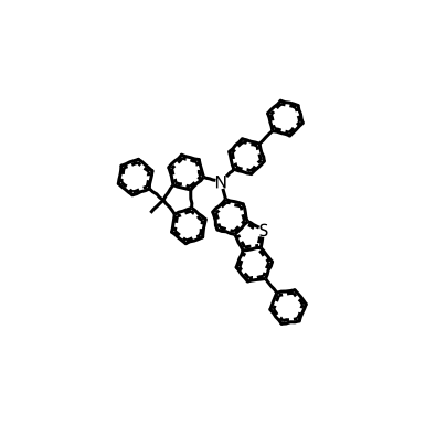 CC1(c2ccccc2)c2ccccc2-c2c(N(c3ccc(-c4ccccc4)cc3)c3ccc4c(c3)sc3cc(-c5ccccc5)ccc34)cccc21